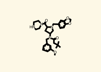 COc1cccc(CN(C(=O)CC(C)(C)C)C2CC(C(=O)N3CCNCC3)N(Cc3ccc4c(c3)OCO4)C2)c1